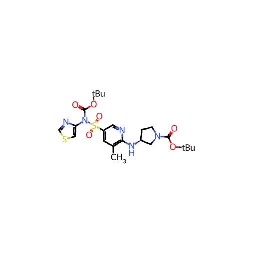 Cc1cc(S(=O)(=O)N(C(=O)OC(C)(C)C)c2cscn2)cnc1N[C@H]1CCN(C(=O)OC(C)(C)C)C1